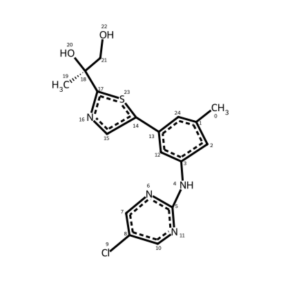 Cc1cc(Nc2ncc(Cl)cn2)cc(-c2cnc([C@@](C)(O)CO)s2)c1